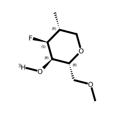 [3H]O[C@H]1[C@@H](F)[C@H](C)CO[C@@H]1COC